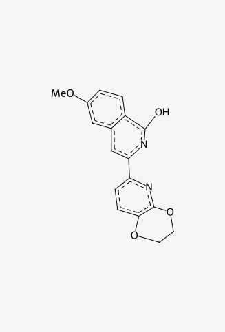 COc1ccc2c(O)nc(-c3ccc4c(n3)OCCO4)cc2c1